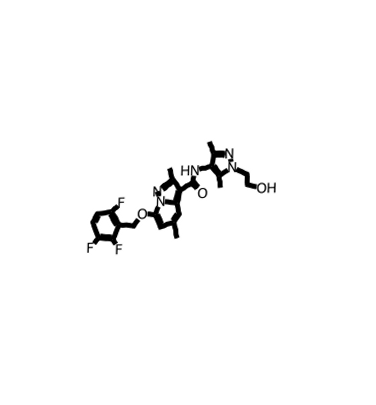 Cc1cc(OCc2c(F)ccc(F)c2F)n2nc(C)c(C(=O)Nc3c(C)nn(CCO)c3C)c2c1